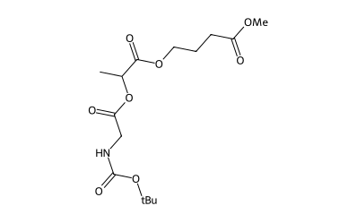 COC(=O)CCCOC(=O)C(C)OC(=O)CNC(=O)OC(C)(C)C